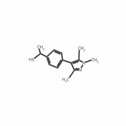 Cc1nn(C)c(C)c1-c1ccc(C(C)S)cc1